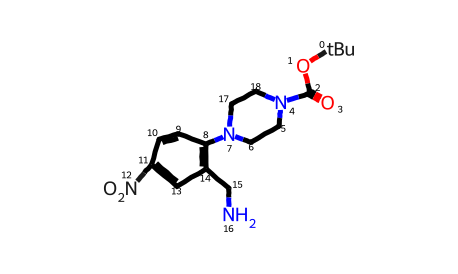 CC(C)(C)OC(=O)N1CCN(c2ccc([N+](=O)[O-])cc2CN)CC1